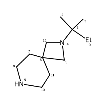 CCC(C)(C)N1CC2(CCNCC2)C1